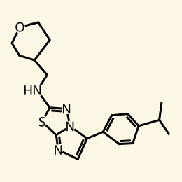 CC(C)c1ccc(-c2cnc3sc(NCC4CCOCC4)nn23)cc1